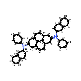 c1ccc(N(c2ccc3ccccc3c2)c2cc3ccc4cc(N(c5ccccc5)c5ccc6ccccc6c5)cc5ccc(c2)c3c45)cc1